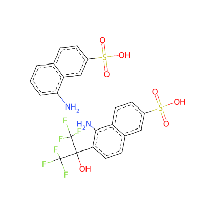 Nc1c(C(O)(C(F)(F)F)C(F)(F)F)ccc2cc(S(=O)(=O)O)ccc12.Nc1cccc2ccc(S(=O)(=O)O)cc12